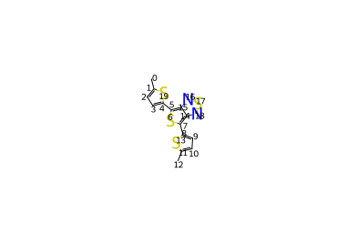 Cc1ccc(-c2sc(-c3ccc(C)s3)c3c2N=S=N3)s1